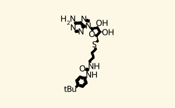 CC(C)(C)c1ccc(NC(=O)NCCCCSC[C@H]2OC(n3cnc4c(N)ncnc43)[C@H](O)[C@@H]2O)cc1